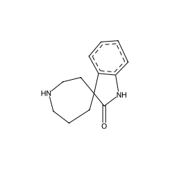 O=C1Nc2ccccc2C12CCCNCC2